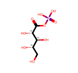 O=C(OP(=O)(O)O)[C@@H](O)[C@@H](O)[C@@H](O)CO